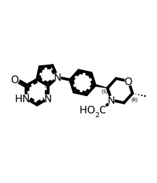 C[C@@H]1CN(C(=O)O)[C@@H](c2ccc(-n3ccc4c(=O)[nH]cnc43)cc2)CO1